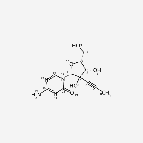 CC#CC1(O)[C@@H](O)[C@@H](CO)O[C@H]1n1cnc(N)nc1=O